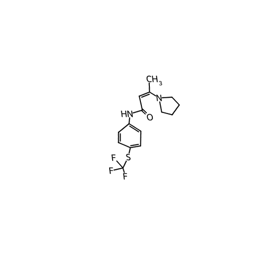 CC(=CC(=O)Nc1ccc(SC(F)(F)F)cc1)N1CCCC1